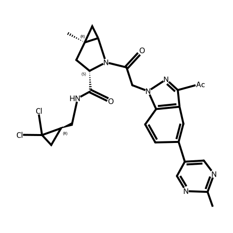 CC(=O)c1nn(CC(=O)N2C3C[C@]3(C)C[C@H]2C(=O)NC[C@H]2CC2(Cl)Cl)c2ccc(-c3cnc(C)nc3)cc12